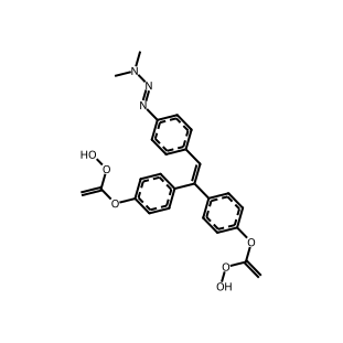 C=C(OO)Oc1ccc(C(=Cc2ccc(/N=N/N(C)C)cc2)c2ccc(OC(=C)OO)cc2)cc1